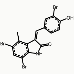 Cc1c(Br)cc(Br)c2c1C(=Cc1ccc(O)c(Br)c1)C(=O)N2